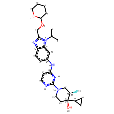 CC(C)n1c(COC2CCCCO2)nc2ccc(Nc3ccnc(N4CC[C@@](O)(C5CC5)[C@H](F)C4)n3)cc21